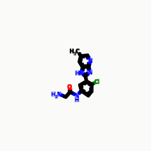 Cc1cnc2nc(-c3cc(NC(=O)CN)ccc3Cl)[nH]c2c1